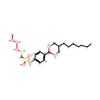 CCCCCCCC1COC(c2ccc(OS(=O)(=O)CSOOOC)cc2)OC1